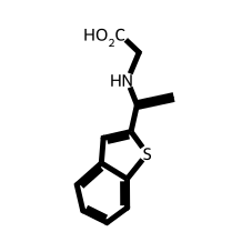 C=C(NCC(=O)O)c1cc2ccccc2s1